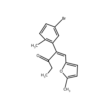 CCC(=O)/C(=C\c1ccc(C)o1)c1cc(Br)ccc1C